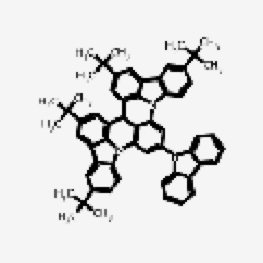 CC(C)(C)c1ccc2c(c1)c1cc(C(C)(C)C)cc3c1n2-c1cc(-n2c4ccccc4c4ccccc42)cc2c1C3c1cc(C(C)(C)C)cc3c4cc(C(C)(C)C)ccc4n-2c13